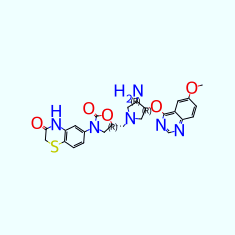 COc1ccc2ncnc(O[C@@H]3CN(C[C@@H]4CN(c5ccc6c(c5)NC(=O)CS6)C(=O)O4)C[C@H]3N)c2c1